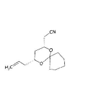 C=CC[C@@H]1C[C@H](CC#N)OC2(CCCCC2)O1